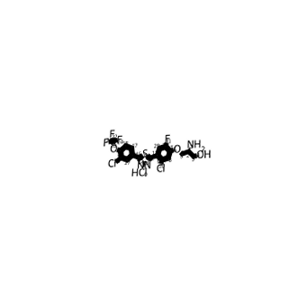 Cl.N[C@H](CO)COc1cc(Cl)c(-c2nnc(-c3ccc(OC(F)(F)F)c(Cl)c3)s2)cc1F